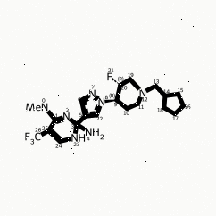 CNC1=NC(N)(c2cnn([C@@H]3CCN(CC4CCCC4)C[C@H]3F)c2)NC=C1C(F)(F)F